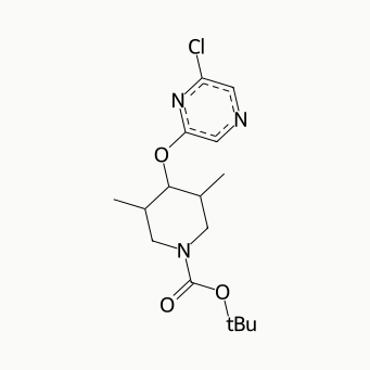 CC1CN(C(=O)OC(C)(C)C)CC(C)C1Oc1cncc(Cl)n1